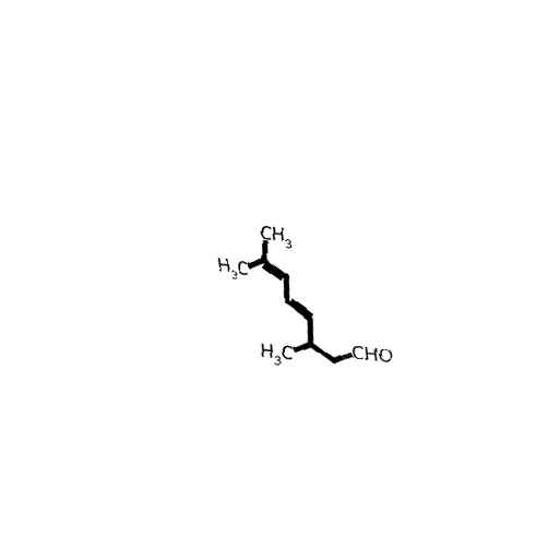 CC(C)=CC=CC(C)CC=O